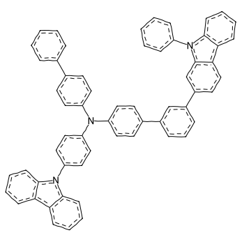 c1ccc(-c2ccc(N(c3ccc(-c4cccc(-c5ccc6c7ccccc7n(-c7ccccc7)c6c5)c4)cc3)c3ccc(-n4c5ccccc5c5ccccc54)cc3)cc2)cc1